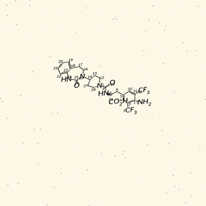 Nc1c(C(F)(F)F)cc(C[C@@H](NC(=O)N2CCC(N3CCc4ccccc4NC3=O)CC2)C(=O)O)cc1C(F)(F)F